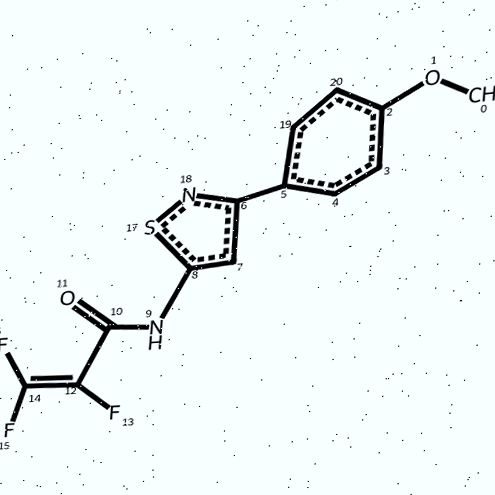 COc1ccc(-c2cc(NC(=O)C(F)=C(F)F)sn2)cc1